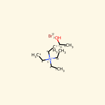 CCO.CC[N+](CC)(CC)CC.[Br-]